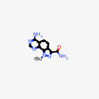 CC(C)(C)n1nc(C(N)=O)c2ccc3c(N)ncnc3c21